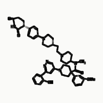 COc1cccc(C2(C(=O)N(C)C3CCN(CCC4CCN(c5ccc([C@H]6CCC(=O)NC6=O)cc5)CC4)CC3)CCN(c3cnnc(-c4ccccc4O)c3)CC2)c1